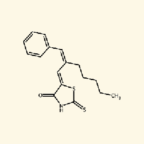 CCCCCC(=Cc1ccccc1)C=C1SC(=S)NC1=O